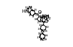 Cl.Cl.NC1C(C(=O)c2ccc3[nH]cnc3c2)CCN1C(=O)C1CCN(c2ccncc2)CC1